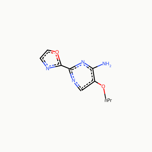 CCCOc1cnc(-c2ncco2)nc1N